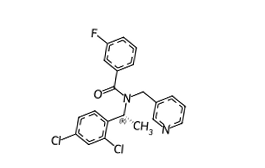 C[C@H](c1ccc(Cl)cc1Cl)N(Cc1cccnc1)C(=O)c1cccc(F)c1